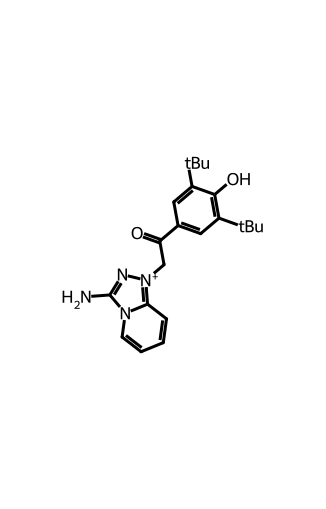 CC(C)(C)c1cc(C(=O)C[n+]2nc(N)n3ccccc32)cc(C(C)(C)C)c1O